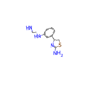 N=CCNc1cccc(C2CSC(N)=N2)c1